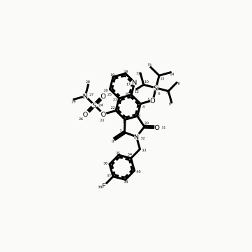 C=C1c2c(c(O[Si](C(C)C)(C(C)C)C(C)C)c3ncccc3c2OS(=O)(=O)N(C)C)C(=O)N1Cc1ccc(F)cc1